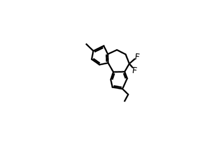 CCc1ccc2c(c1)C(F)(F)CCc1cc(C)ccc1-2